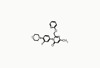 Cc1cc(=O)n(-c2ccc(N3CCOCC3)c(F)c2)c(COc2ccccn2)n1